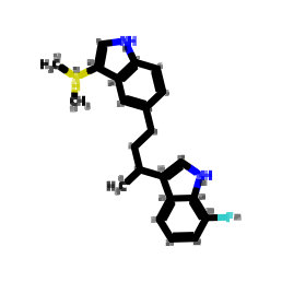 CC(CCc1ccc2[nH]cc([SH](C)C)c2c1)c1c[nH]c2c(F)cccc12